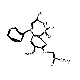 CCCCC1CN(c2ccccc2)c2cc(SC)c(O/C=C(\F)C(=O)O)cc2S(O)(O)N1